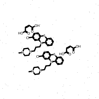 CN1CCN(CCCN2c3ccccc3Sc3ccc(Cl)cc32)CC1.CN1CCN(CCCN2c3ccccc3Sc3ccc(Cl)cc32)CC1.O=C(O)/C=C\C(=O)O.O=C(O)/C=C\C(=O)O